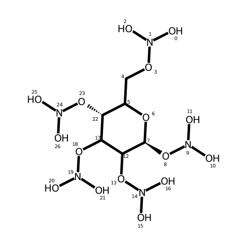 ON(O)OCC1O[C@@H](ON(O)O)C(ON(O)O)C(ON(O)O)[C@@H]1ON(O)O